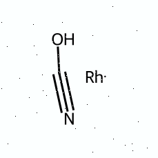 N#CO.[Rh]